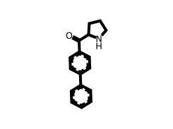 O=C(c1ccc(-c2ccccc2)cc1)C1CCCN1